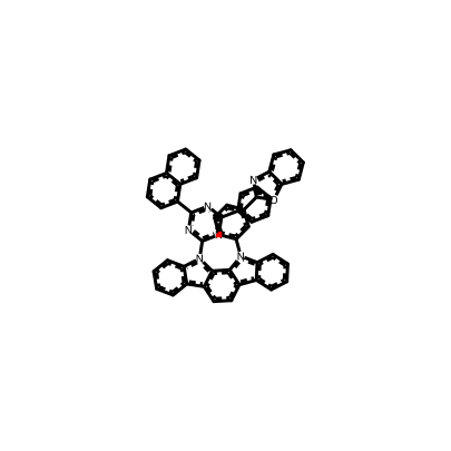 c1ccc(-c2nc(-c3cccc4ccccc34)nc(-n3c4ccccc4c4ccc5c6ccccc6n(-c6cccc(-c7nc8ccccc8o7)c6)c5c43)n2)cc1